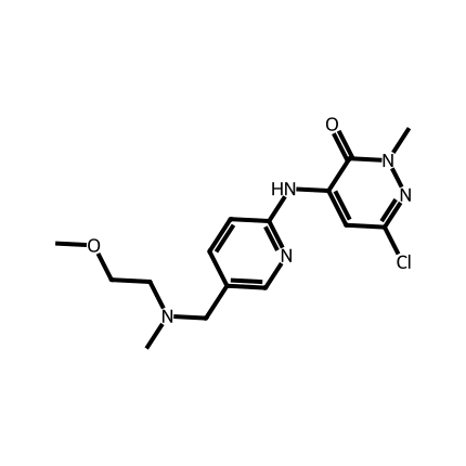 COCCN(C)Cc1ccc(Nc2cc(Cl)nn(C)c2=O)nc1